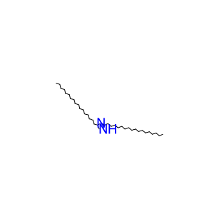 CCCCCCCCCCCCCCCCCC1=NC(CCCCCCCCCCCCCCCCC)CN1